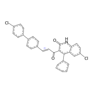 O=C(/C=C/c1ccc(-c2ccc(Cl)cc2)cc1)c1c(-c2ccccc2)c2cc(Cl)ccc2[nH]c1=O